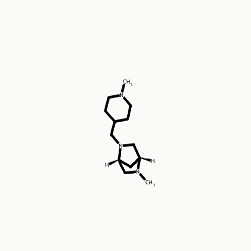 CN1CCC(CN2C[C@H]3C[C@@H]2CN3C)CC1